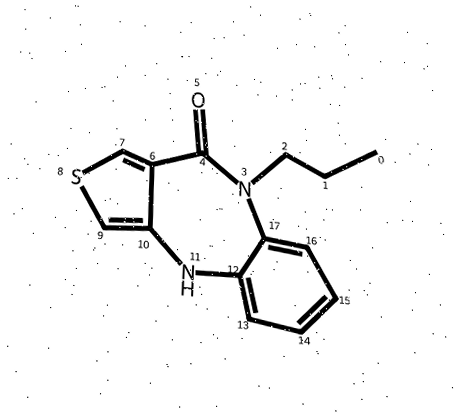 CCCN1C(=O)c2cscc2Nc2ccccc21